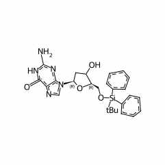 CC(C)(C)[Si](OC[C@H]1O[C@@H](n2cnc3c(=O)[nH]c(N)nc32)CC1O)(c1ccccc1)c1ccccc1